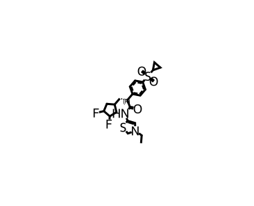 CCN1C=C(NC(=O)[C@H](CC2CC(F)C(F)C2)c2ccc(S(=O)(=O)C3CC3)cc2)SC1